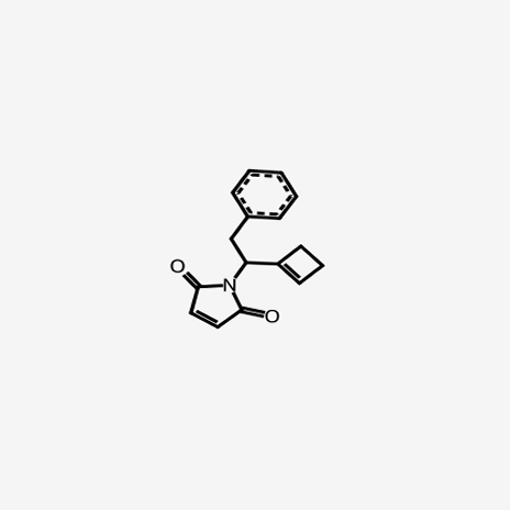 O=C1C=CC(=O)N1C(Cc1ccccc1)C1=CCC1